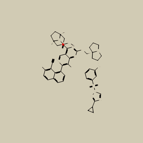 C#Cc1c(F)ccc2cccc(-c3ncc4c(N5C[C@H]6CC[C@@H](C5)N6C(=O)OC(C)(C)C)nc(OC[C@@]56CCCN5C[C@H](Nc5cccc(S(=O)(=O)n7cnc(C8CC8)n7)c5)C6)nc4c3F)c12